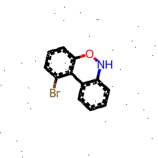 Brc1cccc2c1-c1ccccc1NO2